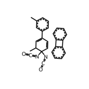 Cc1cccc(C2=CC(C)C(N=C=O)(N=C=O)C=C2)c1.c1ccc2c(c1)-c1ccccc1-2